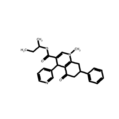 CCC(C)OC(=O)C1=CN(C)C2=C(C(=O)CC(c3ccccc3)C2)C1c1cccnc1